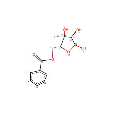 C[C@@]1(O)[C@@H](COC(=O)c2ccccc2)OC(O)[C@@H]1O